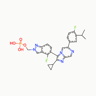 CC(C)c1cc(-c2cn3c(-c4ccc5nn(COP(=O)(O)O)cc5c4F)c(C4CC4)nc3cn2)ccc1F